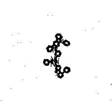 c1ccc(-c2nc(-c3cccc(-n4c5ccccc5c5cc6c7ccccc7n(-c7ccccc7)c6cc54)c3)nc(-c3ccc4c(c3)sc3cccc(-c5ccccc5)c34)n2)cc1